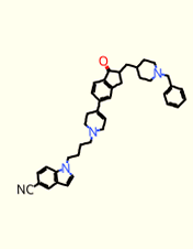 N#Cc1ccc2c(ccn2CCCCN2CC=C(c3ccc4c(c3)CC(CC3CCN(Cc5ccccc5)CC3)C4=O)CC2)c1